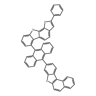 c1ccc(-c2cc3ccc4c(sc5cccc(-c6c7ccccc7c(-c7ccc8c(c7)oc7ccc9ccccc9c78)c7ccccc67)c54)c3o2)cc1